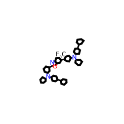 FC(F)(F)c1cc(N(c2ccccc2)c2ccc(-c3ccccc3)cc2)ccc1-c1ccc2nc(-c3cccc(N(c4ccccc4)c4ccc(-c5ccccc5)cc4)c3)oc2c1